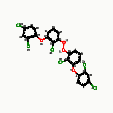 Clc1ccc(Oc2cccc(OOc3cccc(Oc4ccc(Cl)cc4Cl)c3Cl)c2Cl)c(Cl)c1